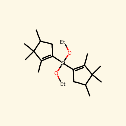 CCO[Si](OCC)(C1=C(C)C(C)(C)C(C)C1)C1=C(C)C(C)(C)C(C)C1